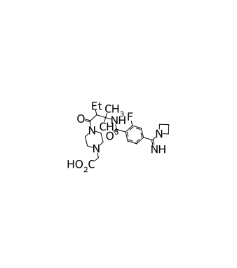 CCC(C(=O)N1CCN(CC(=O)O)CC1)C(C)(C)NC(=O)c1ccc(C(=N)N2CCC2)cc1F